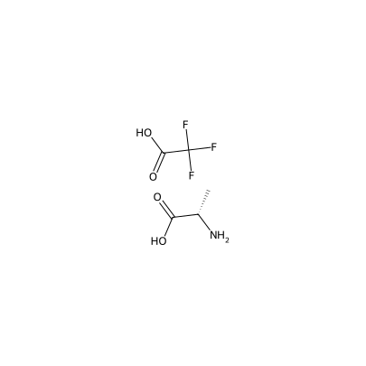 C[C@H](N)C(=O)O.O=C(O)C(F)(F)F